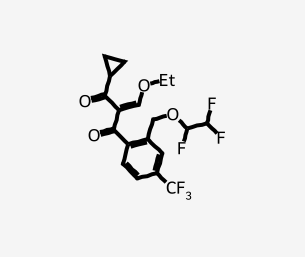 CCOC=C(C(=O)c1ccc(C(F)(F)F)cc1COC(F)C(F)F)C(=O)C1CC1